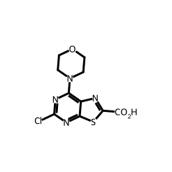 O=C(O)c1nc2c(N3CCOCC3)nc(Cl)nc2s1